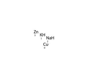 [Cu].[KH].[NaH].[Zn]